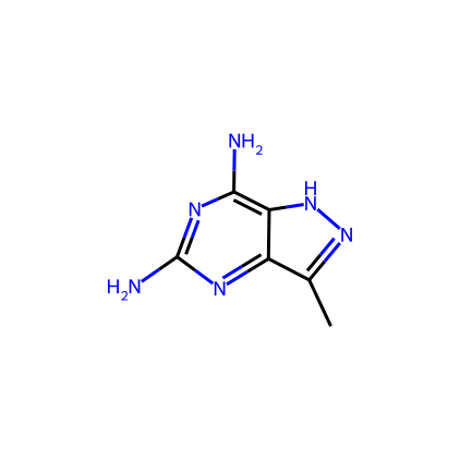 Cc1n[nH]c2c(N)nc(N)nc12